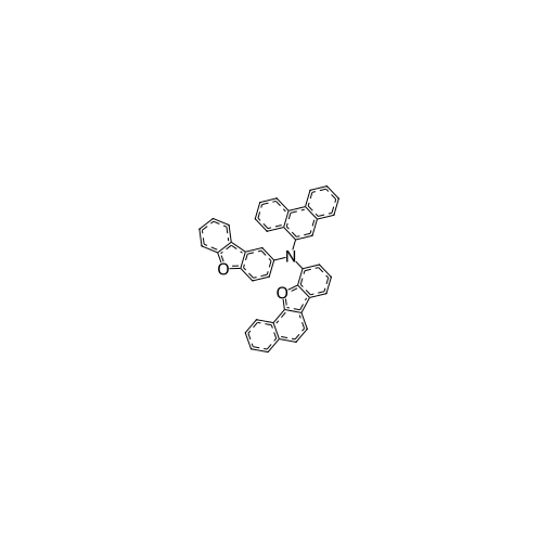 c1ccc2c(c1)cc(N(c1ccc3oc4ccccc4c3c1)c1cccc3c1oc1c4ccccc4ccc31)c1ccccc12